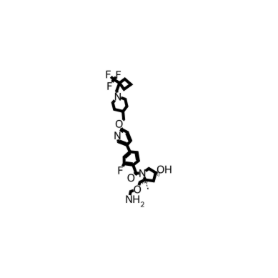 C[C@@]1(COCN)C[C@@H](O)CN1C(=O)c1ccc(-c2ccc(OCC3CCN(CC4(C(F)(F)F)CCC4)CC3)nc2)cc1F